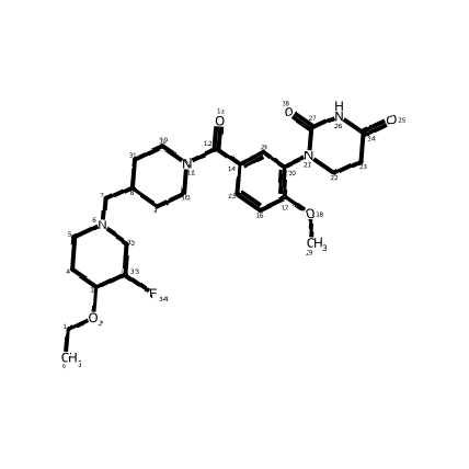 CCOC1CCN(CC2CCN(C(=O)c3ccc(OC)c(N4CCC(=O)NC4=O)c3)CC2)CC1F